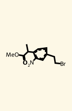 COC(=O)C(C)c1ccc(CCBr)cc1[N+](=O)[O-]